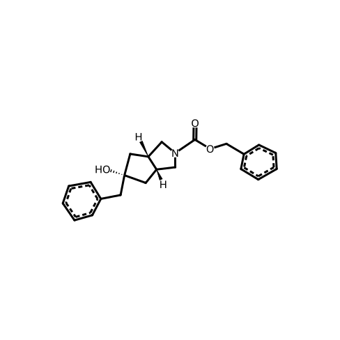 O=C(OCc1ccccc1)N1C[C@@H]2C[C@@](O)(Cc3ccccc3)C[C@@H]2C1